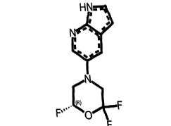 F[C@@H]1CN(c2cnc3[nH]ccc3c2)CC(F)(F)O1